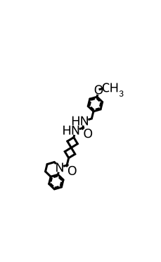 COc1ccc(CNC(=O)NC2CC3(C2)CC(C(=O)N2CCCc4ccccc42)C3)cc1